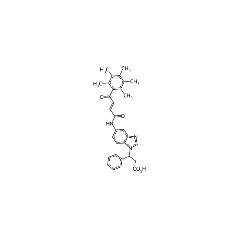 Cc1c(C)c(C)c(C(=O)/C=C/C(=O)Nc2ccc3c(c2)ncn3C(CC(=O)O)c2ccccc2)c(C)c1C